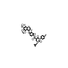 COc1cc2nccc(Oc3ccc(NC(=O)c4cn(CC5CC5)c(=O)n(-c5ccc(F)cc5)c4=O)cc3F)c2c2c1OCCO2